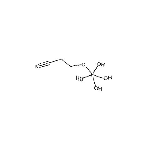 N#CCCOP(O)(O)(O)O